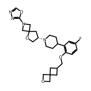 Fc1ccc(OCC2CC3(COC3)C2)c(C2CCN([C@@H]3COC4(C3)CN(c3nnco3)C4)CC2)c1